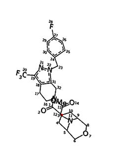 COC(=O)C1CC2COCC(C1)N2CC(=O)N1CCc2c(C(F)(F)F)nn(Cc3ccc(F)cc3)c2C1